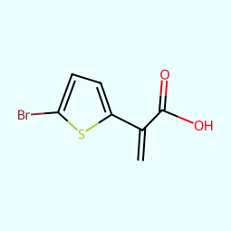 C=C(C(=O)O)c1ccc(Br)s1